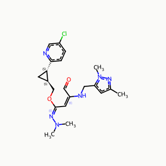 Cc1cc(CN/C(C=O)=C/C(=N\N(C)C)OC[C@H]2C[C@@H]2c2ccc(Cl)cn2)n(C)n1